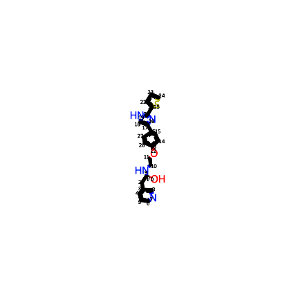 O[C@H](Cc1cccnc1)NCCOc1ccc(-c2c[nH]c(-c3cccs3)n2)cc1